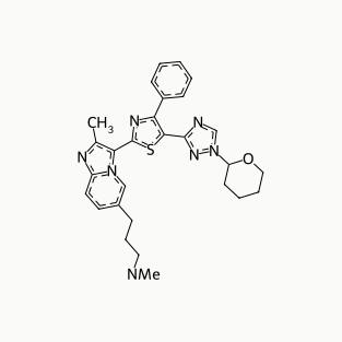 CNCCCc1ccc2nc(C)c(-c3nc(-c4ccccc4)c(-c4ncn(C5CCCCO5)n4)s3)n2c1